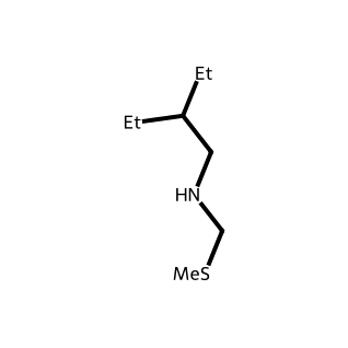 CCC(CC)CNCSC